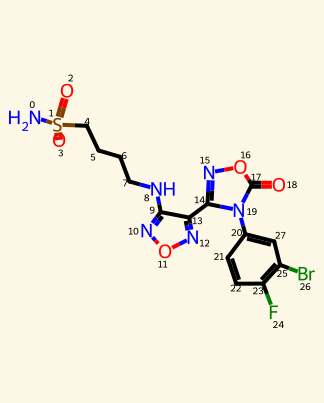 NS(=O)(=O)CCCCNc1nonc1-c1noc(=O)n1-c1ccc(F)c(Br)c1